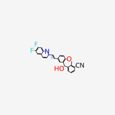 N#Cc1cccc2c1COc1ccc(/C=C/c3ccc4cc(F)c(F)cc4n3)cc1C2O